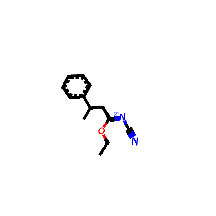 CCO/C(CC(C)c1ccccc1)=N\C#N